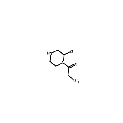 CCC(=O)N1CCNCC1Cl